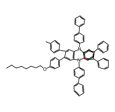 CCCCCCCCOc1ccc(-c2cc(N(c3ccc(-c4ccccc4)cc3)c3ccc(-c4ccccc4)cc3)c(N(c3ccc(-c4ccccc4)cc3)c3ccc(-c4ccccc4)cc3)cc2-c2ccc(C)cc2)cc1